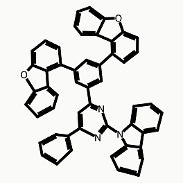 c1ccc(-c2cc(-c3cc(-c4cccc5oc6ccccc6c45)cc(-c4cccc5oc6ccccc6c45)c3)nc(-n3c4ccccc4c4ccccc43)n2)cc1